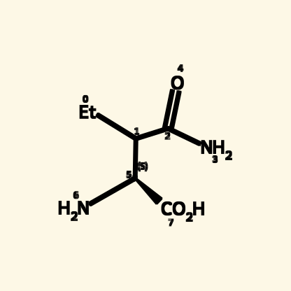 CCC(C(N)=O)[C@H](N)C(=O)O